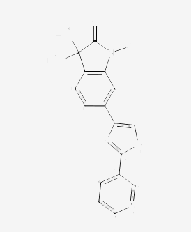 CN1C(=O)C(C)(C)c2ccc(-c3coc(-c4cccnc4)n3)cc21